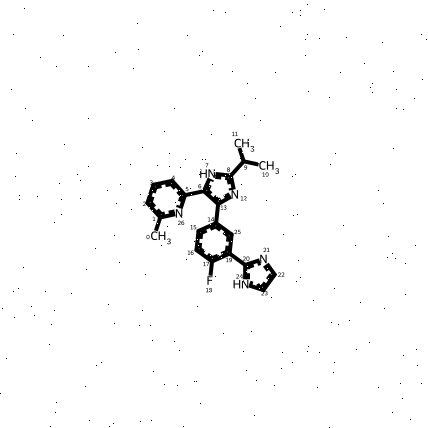 Cc1cccc(-c2[nH]c(C(C)C)nc2-c2ccc(F)c(-c3ncc[nH]3)c2)n1